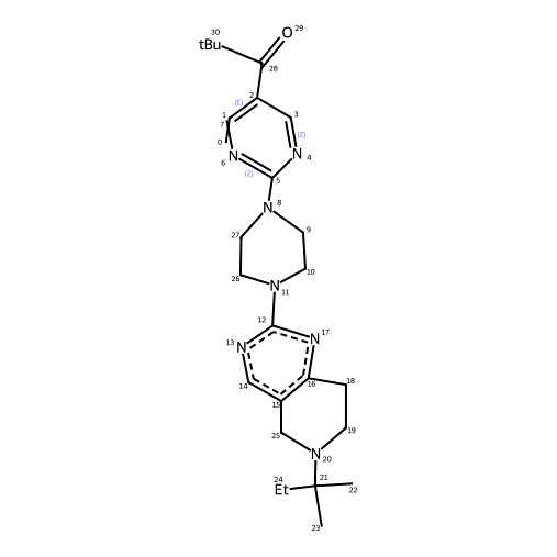 C\C=C(/C=N\C(=N/C)N1CCN(c2ncc3c(n2)CCN(C(C)(C)CC)C3)CC1)C(=O)C(C)(C)C